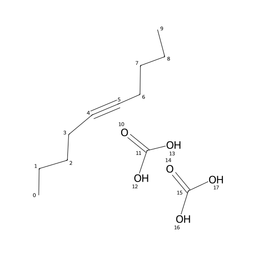 CCCCC#CCCCC.O=C(O)O.O=C(O)O